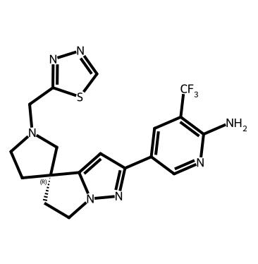 Nc1ncc(-c2cc3n(n2)CC[C@@]32CCN(Cc3nncs3)C2)cc1C(F)(F)F